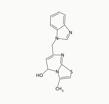 CC1=CSC2=NC(Cn3cnc4ccccc43)=CC(O)N12